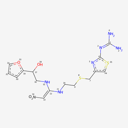 NC(N)=Nc1nc(CSCCN/C(=C/[N+](=O)[O-])NCC(O)c2ccco2)cs1